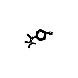 CN(c1ccc(Br)cc1)[Si](C)(C)C